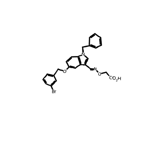 O=C(O)CON=Cc1cn(Cc2ccccc2)c2ccc(OCc3cccc(Br)c3)cc12